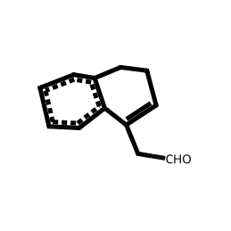 O=CCC1=CCCc2ccccc21